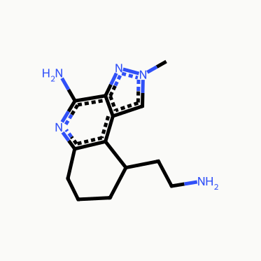 Cn1cc2c3c(nc(N)c2n1)CCCC3CCN